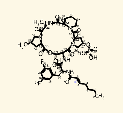 CCCC/C=C/C(=O)N[C@@H](Cc1cc(F)cc(F)c1)C(=O)N[C@@H]1C(=O)N2C[C@H](OP(=O)(O)O)C[C@H]2C(=O)N2CCCC[C@H]2C(=O)N[C@@H](C)C(=O)N2C[C@H](C)CC2C(=O)O[C@H]1C